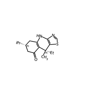 CC[C@]1(C)C2=C(C[C@@H](C(C)C)CC2=O)Nc2ncsc21